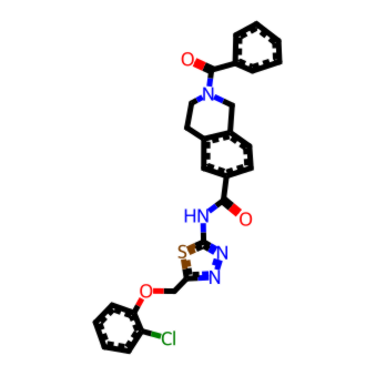 O=C(Nc1nnc(COc2ccccc2Cl)s1)c1ccc2c(c1)CCN(C(=O)c1ccccc1)C2